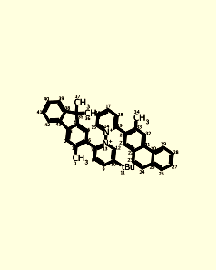 Cc1cc2c(cc1-c1ccc(C(C)(C)C)c[n+]1-[n+]1ccccc1-c1cc3ccc4ccccc4c3cc1C)C(C)(C)c1ccccc1-2